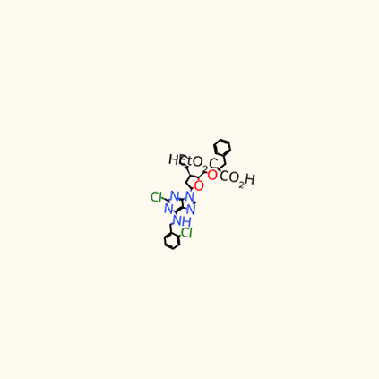 C#C[C@@H]1C[C@H](n2cnc3c(NCc4ccccc4Cl)nc(Cl)nc32)O[C@@H]1COC(Cc1ccccc1)(C(=O)O)C(=O)OCC